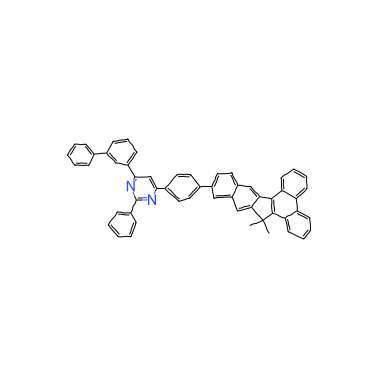 CC1(C)c2cc3cc(-c4ccc(-c5cc(-c6cccc(-c7ccccc7)c6)nc(-c6ccccc6)n5)cc4)ccc3cc2-c2c1c1ccccc1c1ccccc21